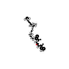 CC[C@@H]1CN(C(=O)C23CC(C(=O)N4C[C@@H](CC)c5c4cc(OC(=O)N(C)CCN(C)C(=O)OCCSSC[C@H](NC(=O)CCCCCN4C(=O)C=CC4=O)C(=O)O)c4ccccc54)(C2)C3)c2cc(O)c3ccccc3c21